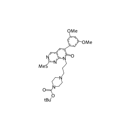 COc1cc(OC)cc(-c2cc3cnc(SC)nc3n(CCCN3CCN(C(=O)OC(C)(C)C)CC3)c2=O)c1